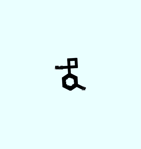 COC1(c2cccc(Br)c2)CCC1